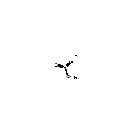 [Eu].[O]=[V](=[O])[OH].[Y]